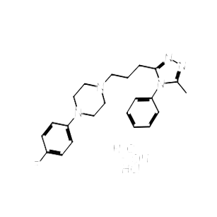 Cc1nnc(CCCN2CCN(c3ccc(F)cc3)CC2)n1-c1ccccc1.Cl.Cl.O